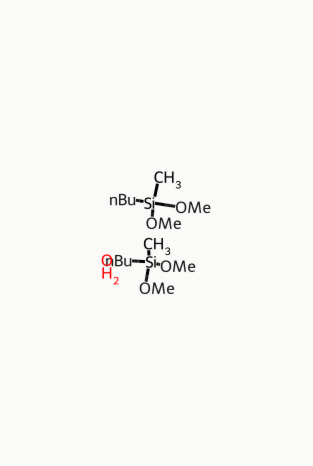 CCCC[Si](C)(OC)OC.CCCC[Si](C)(OC)OC.O